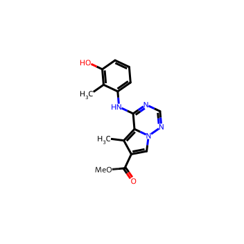 COC(=O)c1cn2ncnc(Nc3cccc(O)c3C)c2c1C